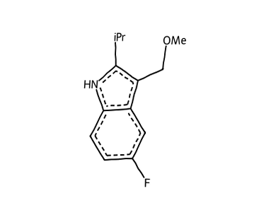 COCc1c(C(C)C)[nH]c2ccc(F)cc12